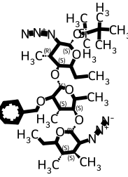 CCC1O[C@H](O[C@@H]2C(C)O[C@@H](O[C@@H]3C(CC)O[C@@H](O[Si](C)(C)C(C)(C)C)C(N=[N+]=[N-])[C@H]3C)C(OCc3ccccc3)[C@H]2C)C(N=[N+]=[N-])[C@@H](C)[C@@H]1C